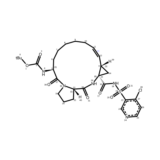 CC(C)(C)OC(=O)N[C@H]1CCCCC/C=C\[C@@H]2C[C@@]2(C(=O)NS(=O)(=O)c2cnccc2Cl)NC(=O)[C@@H]2CCCN2C1=O